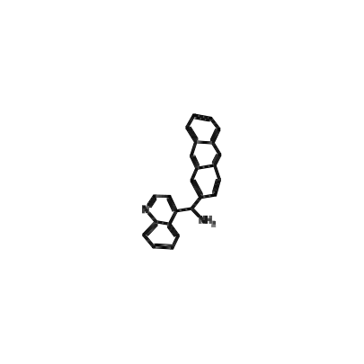 NC(c1ccc2cc3ccccc3cc2c1)c1ccnc2ccccc12